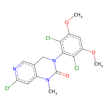 COc1cc(OC)c(Cl)c(N2Cc3cnc(Cl)cc3N(C)C2=O)c1Cl